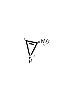 C1=CP1.[Mg]